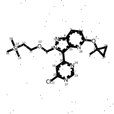 CC1(Oc2ccc3nn(COCC[Si](C)(C)C)c(-c4cc(Cl)ncn4)c3n2)CC1